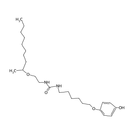 CCCCCCCCC(C)OCCNC(=O)NCCCCCCOc1ccc(O)cc1